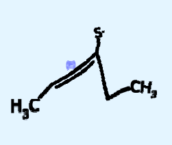 C/C=C(/[S])CC